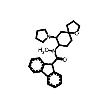 CN(C(=O)C1c2ccccc2-c2ccccc21)C1CCC2(CCCO2)CC1N1CCCC1